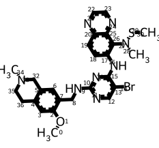 COc1cc2c(cc1CNc1ncc(Br)c(Nc3ccc4nccnc4c3N(C)SC)n1)CN(C)CC2